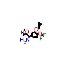 NC(c1ccc(OC(F)F)c(OCC2CC2)c1)c1cnco1